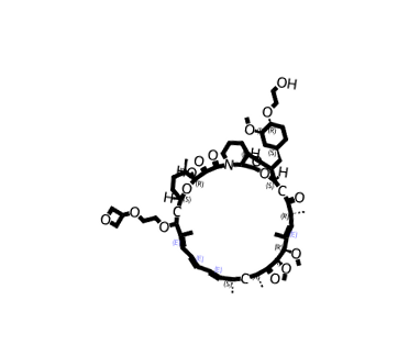 CO[C@@H]1/C(C)=C/[C@@H](C)C(=O)C[C@@H]2OC(=O)C3[C@H](CCCN3C(=O)C(=O)[C@]3(O)O[C@@H](CC[C@H]3C)CC(OCCOC3COC3)/C(C)=C/C=C/C=C/[C@@H](C)C[C@@H](C)C(=O)[C@@H]1OC)C2C[C@@H]1CC[C@@H](OCCO)[C@H](OC)C1